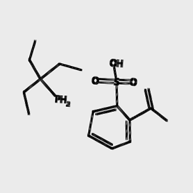 C=C(C)c1ccccc1S(=O)(=O)O.CCC(P)(CC)CC